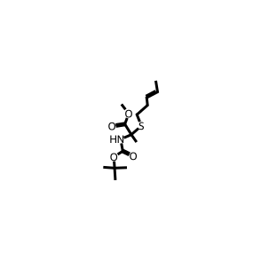 CC=CCCSC(C)(NC(=O)OC(C)(C)C)C(=O)OC